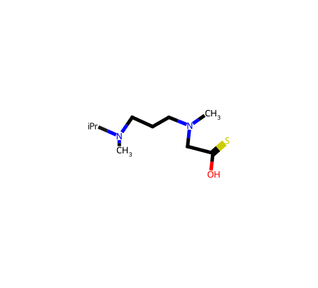 CC(C)N(C)CCCN(C)CC(O)=S